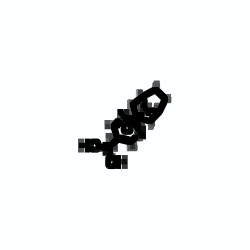 O=C1CC2CCC(C1)N2c1ncc(B(O)O)cn1